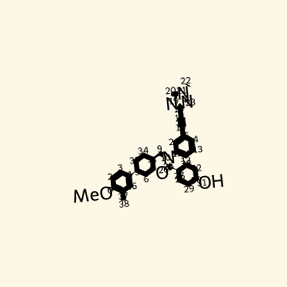 COc1ccc([C@H]2CC[C@H](CN(c3cccc(C#Cc4ncn(C)n4)c3)C(=O)[C@H]3CC[C@H](O)CC3)CC2)cc1C